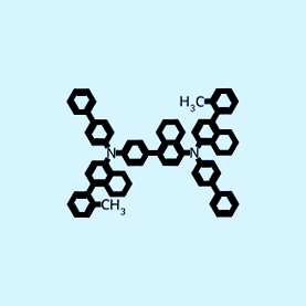 Cc1ccccc1-c1ccc(N(c2ccc(-c3ccccc3)cc2)c2ccc(-c3ccc(N(c4ccc(-c5ccccc5)cc4)c4ccc(-c5ccccc5C)c5c4CCCC5)c4c3CCCC4)cc2)c2c1CCCC2